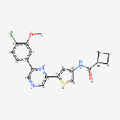 COc1cc(-c2cncc(-c3cc(NC(=O)C4CCC4)cs3)n2)ccc1Cl